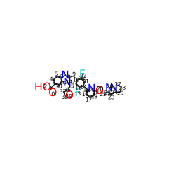 O=C(O)c1ccc2nc(Cc3cc(F)c(-c4cccc(OCc5cc6n(n5)CCC6)n4)cc3F)n(C[C@@H]3CCO3)c2c1